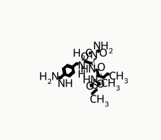 CCCS(=O)(=O)N[C@@H](C(=O)N[C@@H](CN(C)C(N)=O)C(=O)NCc1ccc(C(=N)N)cc1)C(C)CC